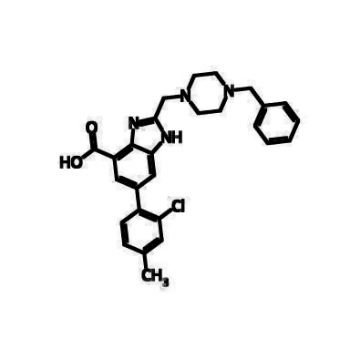 Cc1ccc(-c2cc(C(=O)O)c3nc(CN4CCN(Cc5ccccc5)CC4)[nH]c3c2)c(Cl)c1